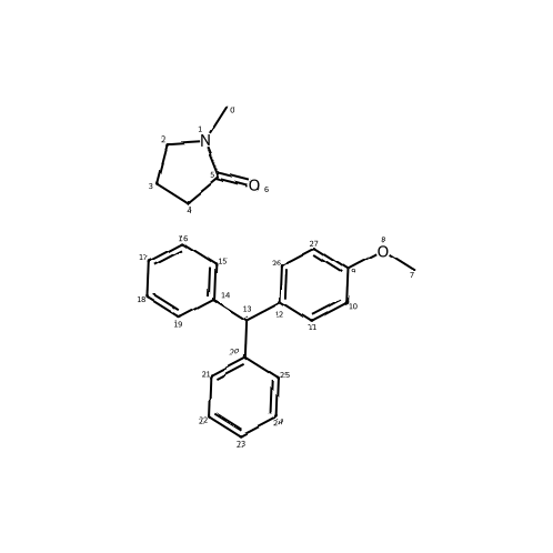 CN1CCCC1=O.COc1ccc([C](c2ccccc2)c2ccccc2)cc1